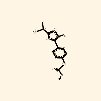 COC(=O)Nc1ccc(-c2nc(C(C)N)[nH]c2Cl)cc1